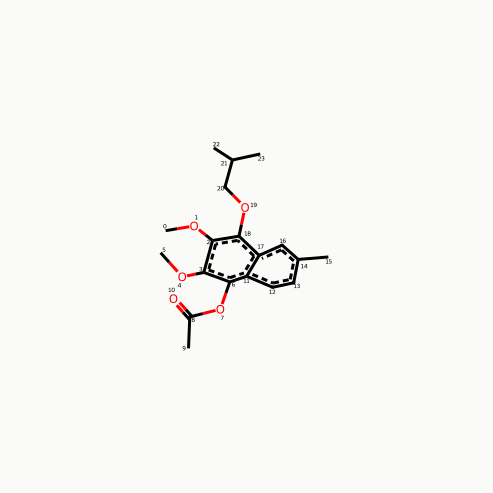 COc1c(OC)c(OC(C)=O)c2ccc(C)cc2c1OCC(C)C